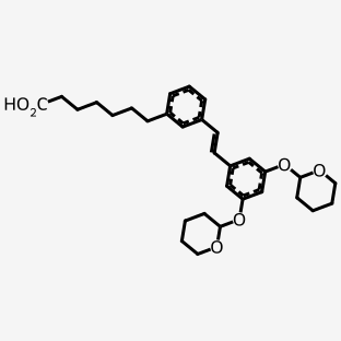 O=C(O)CCCCCCc1cccc(C=Cc2cc(OC3CCCCO3)cc(OC3CCCCO3)c2)c1